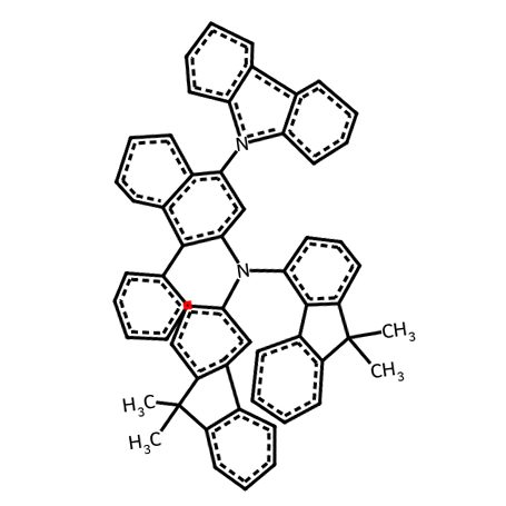 CC1(C)c2ccccc2-c2cc(N(c3cccc4c3-c3ccccc3C4(C)C)c3cc(-n4c5ccccc5c5ccccc54)c4ccccc4c3-c3ccccc3)ccc21